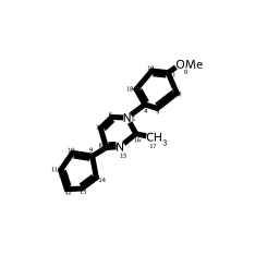 COc1ccc(N2C=CC(c3ccccc3)=NC2C)cc1